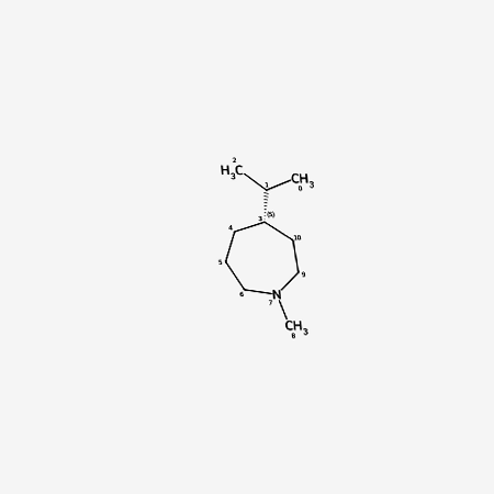 CC(C)[C@H]1CCCN(C)CC1